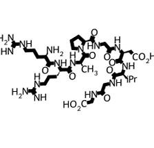 CC(C)[C@H](NC(=O)[C@H](CC(=O)O)NC(=O)CNC(=O)[C@@H]1CCCN1C(=O)[C@H](C)NC(=O)[C@H](CCCNC(=N)N)NC(=O)[C@@H](N)CCCNC(=N)N)C(=O)NCC(=O)NCC(=O)O